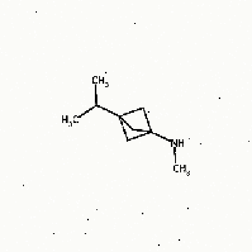 CNC12CC(C(C)C)(C1)C2